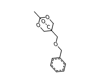 CC12OCC(COCc3ccccc3)(CO1)CO2